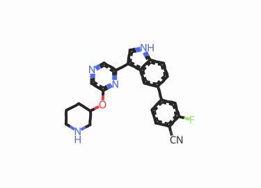 N#Cc1ccc(-c2ccc3[nH]cc(-c4cncc(OC5CCCNC5)n4)c3c2)cc1F